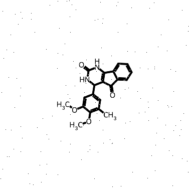 COc1cc(C2NC(=O)NC3=C2C(=O)c2ccccc23)cc(C)c1OC